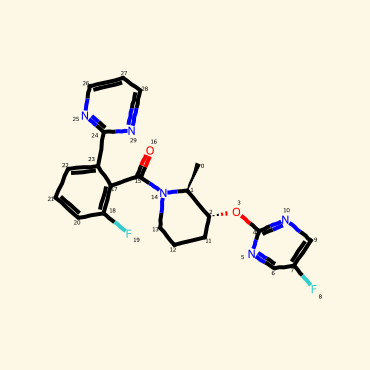 C[C@H]1[C@H](Oc2ncc(F)cn2)CCCN1C(=O)c1c(F)cccc1-c1ncccn1